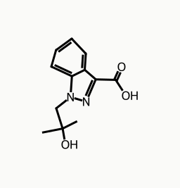 CC(C)(O)Cn1nc(C(=O)O)c2ccccc21